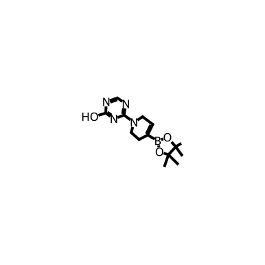 CC1(C)OB(C2=CCN(c3ncnc(O)n3)CC2)OC1(C)C